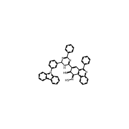 N=C1C(C2=NC(c3ccccc3)=NC(c3cccc(-n4c5ccccc5c5ccccc54)c3)N2)=Cc2c(-c3ccccc3)nc3ccccc3c2/C1=N/S